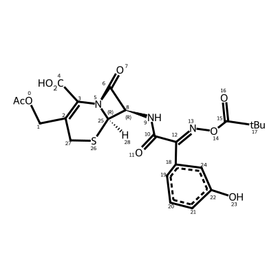 CC(=O)OCC1=C(C(=O)O)N2C(=O)[C@@H](NC(=O)C(=NOC(=O)C(C)(C)C)c3cccc(O)c3)[C@H]2SC1